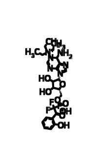 CC[N+](CC)(CC)N1C=Nc2c(ncn2[C@@H]2O[C@H](COP(=O)(O)C(F)(F)C(=O)c3ccccc3O)C(O)C2O)C1N